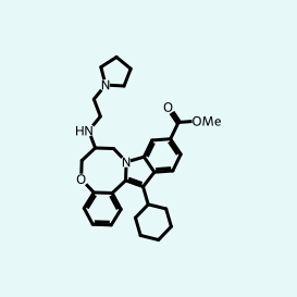 COC(=O)c1ccc2c(C3CCCCC3)c3n(c2c1)CC(NCCN1CCCC1)COc1ccccc1-3